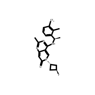 Cc1nc(N[C@H](C)c2cccc(C(F)(F)F)c2C)c2cn([C@H]3C[C@H](F)C3)c(=O)cc2n1